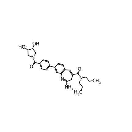 CCCN(CCC)C(=O)C1=Cc2ccc(-c3ccc(C(=O)N4CC(O)C(O)C4)cc3)cc2N=C(N)C1